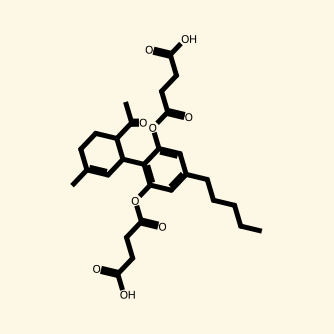 CCCCCc1cc(OC(=O)CCC(=O)O)c(C2C=C(C)CCC2C(C)=O)c(OC(=O)CCC(=O)O)c1